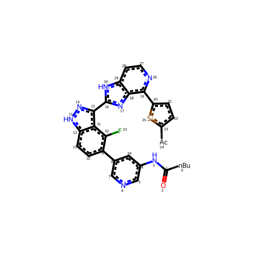 CCCCC(=O)Nc1cncc(-c2ccc3[nH]nc(-c4nc5c(-c6ccc(C(C)=O)s6)nccc5[nH]4)c3c2F)c1